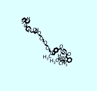 CN[C@@H](C)C(=O)N[C@H](C(=O)N1CCN(C(=O)c2ccc3c(c2)cc(C)n3CCOCCOCCOCCOc2cc(CN3CCC(Oc4ccnc5ccsc45)CC3)on2)CC1)C1CCCCC1